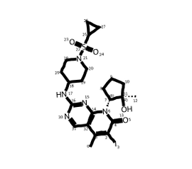 Cc1c(I)c(=O)n([C@@H]2CCC[C@@]2(C)O)c2nc(NC3CCN(S(=O)(=O)C4CC4)CC3)ncc12